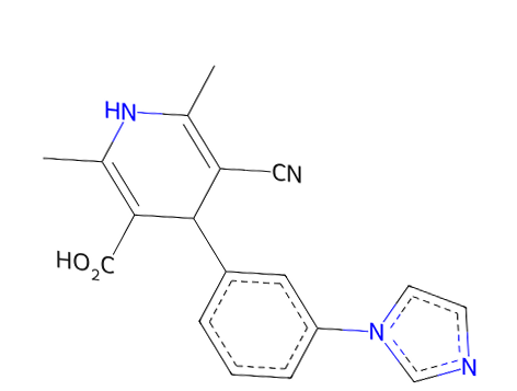 CC1=C(C#N)C(c2cccc(-n3ccnc3)c2)C(C(=O)O)=C(C)N1